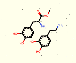 COC(=O)[C@@H](N)Cc1ccc(O)c(O)c1.NCCc1ccc(O)c(O)c1